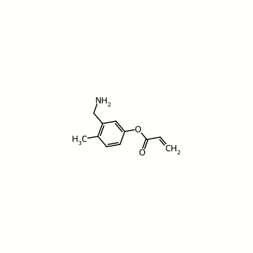 C=CC(=O)Oc1ccc(C)c(CN)c1